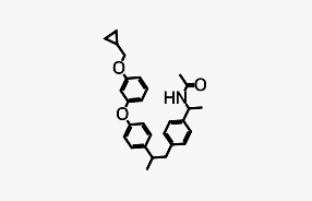 CC(=O)NC(C)c1ccc(CC(C)c2ccc(Oc3cccc(OCC4CC4)c3)cc2)cc1